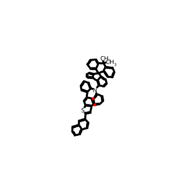 CC1(C)c2ccccc2C2(c3ccccc3-c3c(N(c4ccccc4)c4ccccc4-c4ccc5cc(-c6ccc7ccccc7c6)sc5c4)cccc32)c2ccccc21